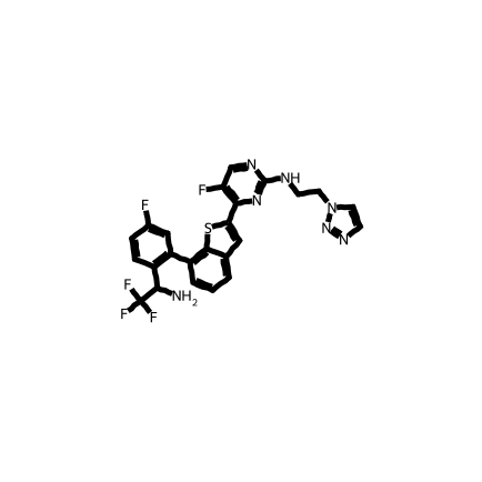 NC(c1ccc(F)cc1-c1cccc2cc(-c3nc(NCCn4ccnn4)ncc3F)sc12)C(F)(F)F